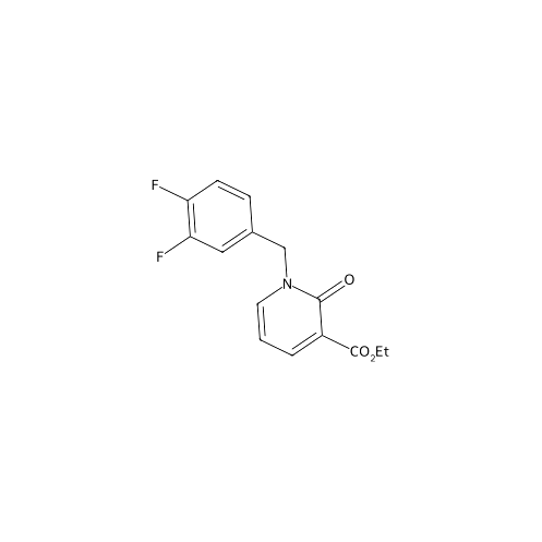 CCOC(=O)c1cccn(Cc2ccc(F)c(F)c2)c1=O